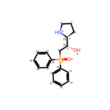 O=P(C[C@@H](O)[C@@H]1CCCN1)(c1ccccc1)c1ccccc1